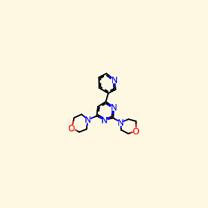 c1cncc(-c2cc(N3CCOCC3)nc(N3CCOCC3)n2)c1